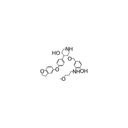 COCCCNc1cc(CO[C@H]2CNC[C@@H](O)C2c2ccc(Oc3ccc4c(c3)CCO4)cc2)ccc1O